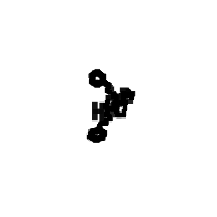 CC(C)[C@@H](CNCCc1ccccc1)SCc1ccccc1.Cl